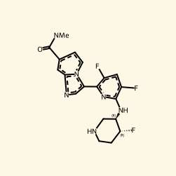 CNC(=O)c1ccn2c(-c3nc(N[C@@H]4CNCC[C@H]4F)c(F)cc3F)cnc2c1